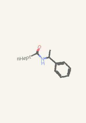 CCCCCCCC(=O)NC(C)c1ccccc1